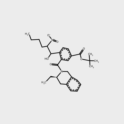 CCCCC(C(O)c1ccc(C(=O)OC(C)(C)C)cc1C(=O)N1Cc2ccccc2C[C@H]1CC)[N+](=O)[O-]